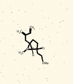 C=CC(=C)CC12CCC(CC)(CCOC)[C@@H]1N2C